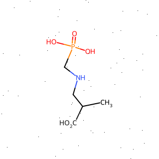 CC(CNCP(=O)(O)O)C(=O)O